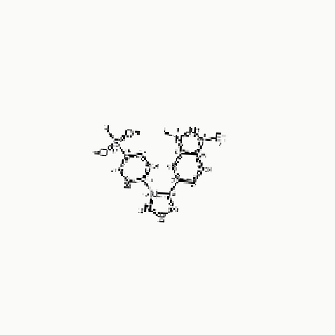 CCc1nn(C)c2cc(-c3ccnn3-c3ccc(S(C)(=O)=O)cc3)ccc12